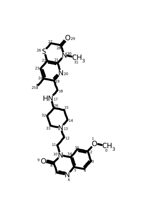 COc1ccc2ncc(=O)n(CCN3CCC(NCc4nc5c(cc4I)SCC(=O)N5C)CC3)c2c1